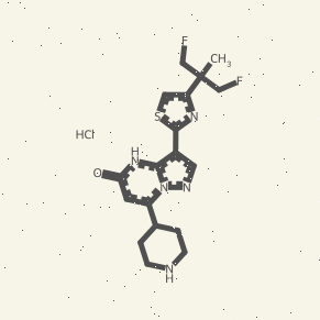 CC(CF)(CF)c1csc(-c2cnn3c(C4CCNCC4)cc(=O)[nH]c23)n1.Cl